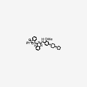 COc1cc(N2CCC(N3CCCC3)CC2)ccc1Nc1nc(Nc2ccccc2S(=O)(=O)C(C)C)c2ccccc2n1